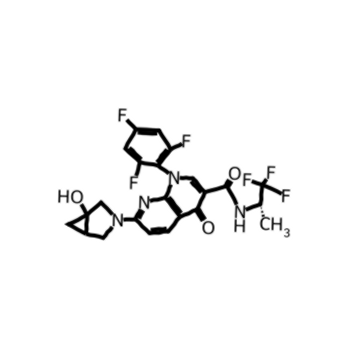 C[C@H](NC(=O)c1cn(-c2c(F)cc(F)cc2F)c2nc(N3CC4CC4(O)C3)ccc2c1=O)C(F)(F)F